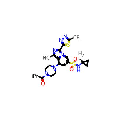 CC(C)C(=O)N1CCN(c2cc(S(=O)(=O)NC3(C)CC3)cn3c(-c4nnc(C(F)(F)F)s4)nc(C#N)c23)CC1